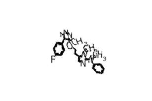 CN(c1ccccc1)c1ncc(CCOC2(C)N=NN=C2c2ccc(F)cc2)n1C